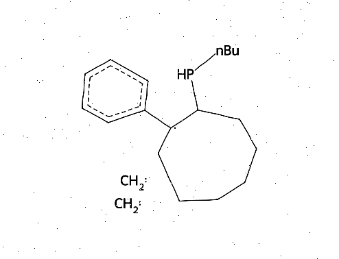 CCCCPC1CCCCCC[C]1c1ccccc1.[CH2].[CH2]